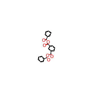 O=C(OC(=O)c1cccc(C(=O)OC(=O)c2ccccc2)c1)c1ccccc1